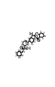 Cc1ccccc1C(=O)N1CCc2cc(N3CCCC(NC(=O)Cc4ccccc4)C3)ccc21